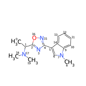 CC(c1nc(-c2cn(C)c3ccccc23)no1)N(C)C